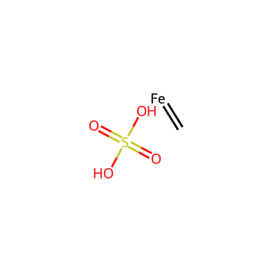 O=S(=O)(O)O.[CH2]=[Fe]